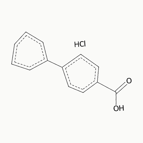 Cl.O=C(O)c1ccc(-c2ccccc2)cc1